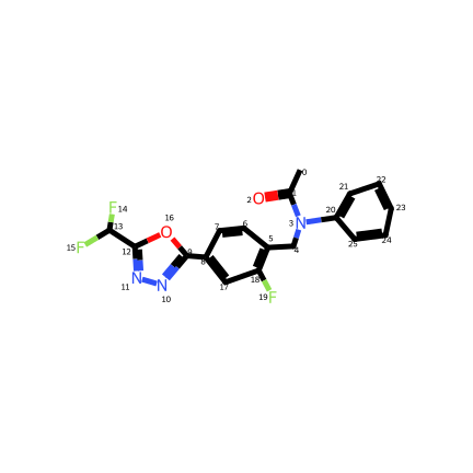 CC(=O)N(Cc1ccc(-c2nnc(C(F)F)o2)cc1F)c1ccccc1